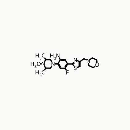 CC1CN(c2cc(F)c(-c3nc(CN4CCOCC4)cs3)cc2N)CC(C)N1C